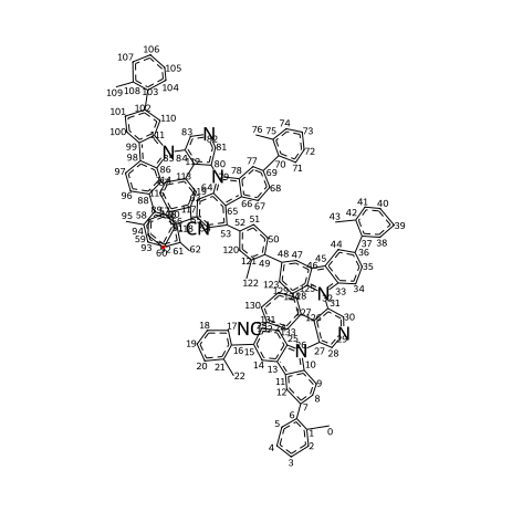 Cc1ccccc1-c1ccc2c(c1)c1cc(-c3ccccc3C)ccc1n2-c1cncc(-n2c3ccc(-c4ccccc4C)cc3c3cc(-c4ccc(-c5cc(-c6ccccc6C)cc6c5c5ccc(-c7ccccc7C)cc5n6-c5cncc(-n6c7cc(-c8ccccc8C)ccc7c7ccc(-c8ccccc8C)cc76)c5-c5cccc(C#N)c5)cc4C)ccc32)c1-c1cccc(C#N)c1